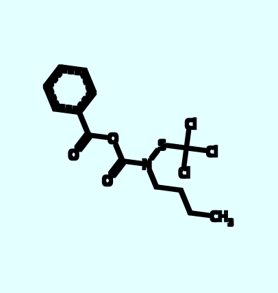 CCCCN(SC(Cl)(Cl)Cl)C(=O)OC(=O)c1ccccc1